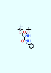 CC(C)(C)OC(=O)N[C@@H](CCO[Si](C)(C)C(C)(C)C)C(=O)NCc1ccccc1